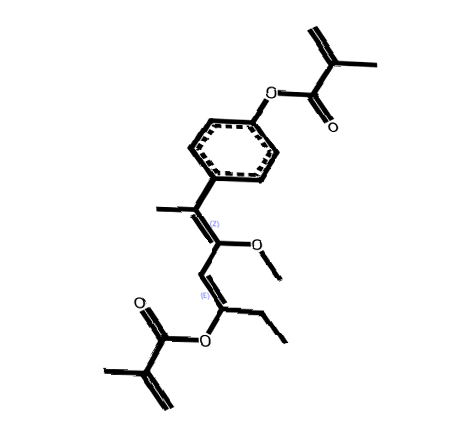 C=C(C)C(=O)O/C(=C/C(OC)=C(\C)c1ccc(OC(=O)C(=C)C)cc1)CC